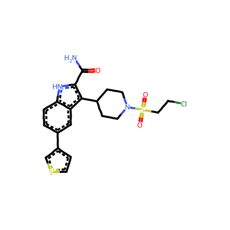 NC(=O)c1[nH]c2ccc(-c3ccsc3)cc2c1C1CCN(S(=O)(=O)CCCl)CC1